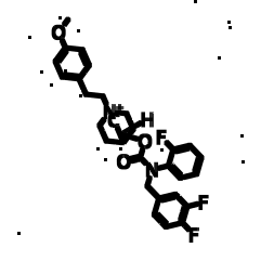 COc1ccc(CC[N+]23CCC(CC2)[C@@H](OC(=O)N(Cc2ccc(F)c(F)c2)c2ccccc2F)C3)cc1